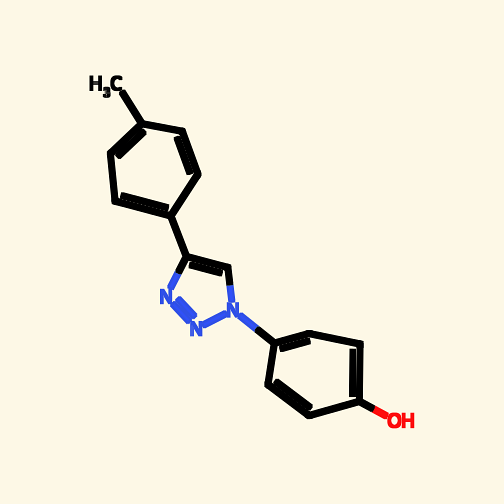 Cc1ccc(-c2cn(-c3ccc(O)cc3)nn2)cc1